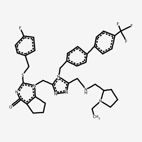 CCN1CCCC1CNCc1nnc(Cn2c(SCc3ccc(F)cc3)nc(=O)c3c2CCC3)n1Cc1ccc(-c2ccc(C(F)(F)F)cc2)cc1